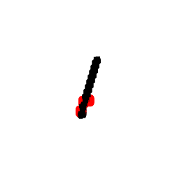 CCCCCCCCCCCCCCCCCC(=O)OCCCOC(C)C